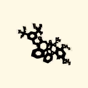 COC(=O)[C@H](Oc1nc(C)cc(C)n1)[C@@]1(c2ccccc2)NCC(=O)N(Cc2cc(C(F)(F)F)cc(C(F)(F)F)c2)c2ccccc21